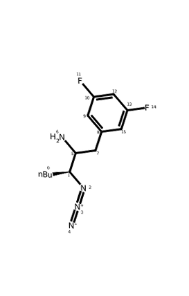 CCCC[C@H](N=[N+]=[N-])C(N)Cc1cc(F)cc(F)c1